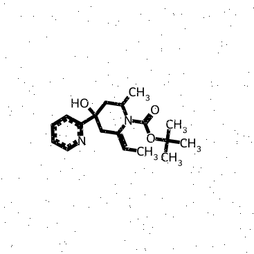 C/C=C1/CC(O)(c2ccccn2)CC(C)N1C(=O)OC(C)(C)C